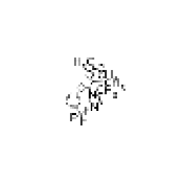 CC(=O)OC(C(Oc1cccc(C(F)(F)F)c1)n1ccnc1)C(C)(C)C